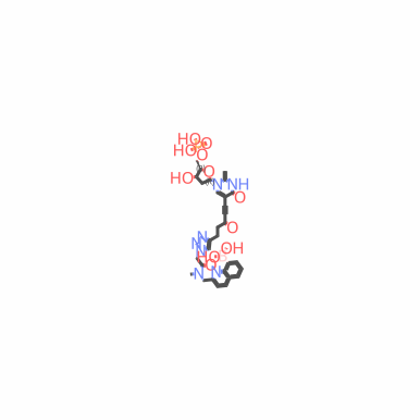 C=C1NC(=O)C(C#CC(=O)CCc2cn(CC(=O)N(C)Cc3ccc4cccc(B(O)O)c4n3)nn2)=CN1[C@H]1CC(O)[C@@H](COP(=O)(O)O)O1